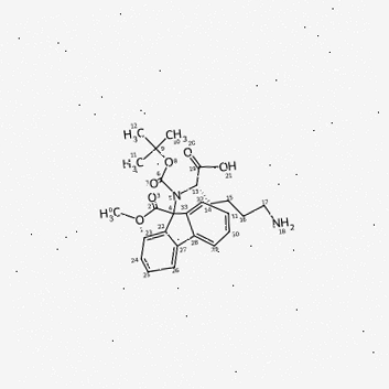 COC(=O)C1(N(C(=O)OC(C)(C)C)[C@@H](CCCCN)C(=O)O)c2ccccc2-c2ccccc21